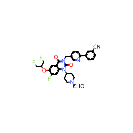 N#Cc1cccc(-c2ccc(Cn3c(=O)c4cc(OC(CF)CF)c(F)cc4n(C4CCN(C=O)CC4)c3=O)cn2)c1